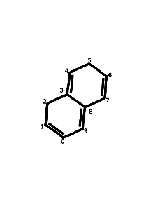 C1=CCC2=CCC=CC2=C1